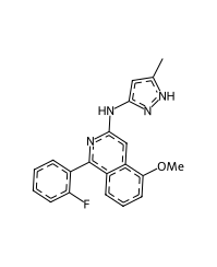 COc1cccc2c(-c3ccccc3F)nc(Nc3cc(C)[nH]n3)cc12